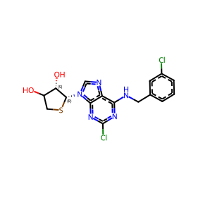 OC1CS[C@@H](n2cnc3c(NCc4cccc(Cl)c4)nc(Cl)nc32)[C@H]1O